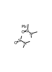 CN(C)[Si](C)=O.CN(C)[Si](C)=O.[Pb]